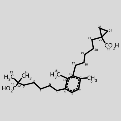 Cc1ccc(CCCCCC(C)(C)C(=O)O)c(C)c1CCCCCC1(C(=O)O)CC1